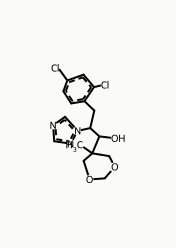 CC1(C(O)C(Cc2ccc(Cl)cc2Cl)n2cncn2)COCOC1